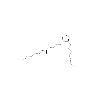 CCCCCCCCCCCCCCCCC1=NCCN1CCCNC(=O)CCCCCCCCCCCCCCC